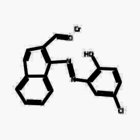 O=Cc1ccc2ccccc2c1N=Nc1cc(Cl)ccc1O.[Cr]